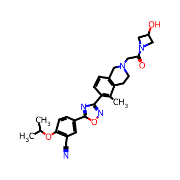 Cc1c(-c2noc(-c3ccc(OC(C)C)c(C#N)c3)n2)ccc2c1CCN(CC(=O)N1CC(O)C1)C2